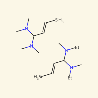 CCN(C)C(C=C[SiH3])N(C)CC.CN(C)C(C=C[SiH3])N(C)C